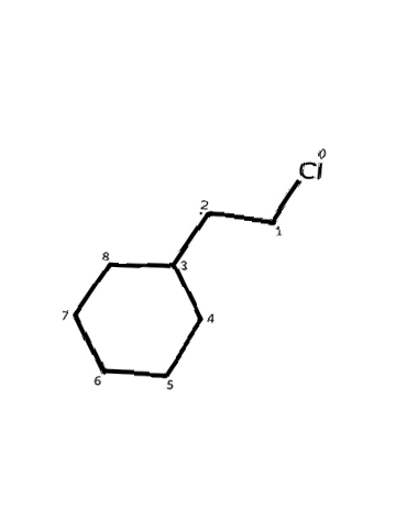 ClC[CH]C1CCCCC1